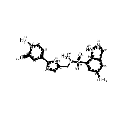 Cc1cc(S(=O)(=O)N(C)Cc2cnc(-c3ccn(C)c(=O)c3)[nH]2)c2[nH]ncc2c1